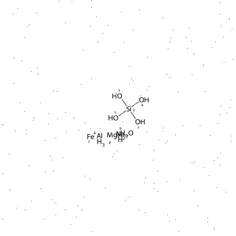 O.O[Si](O)(O)O.[AlH3].[Fe].[MgH2].[NaH]